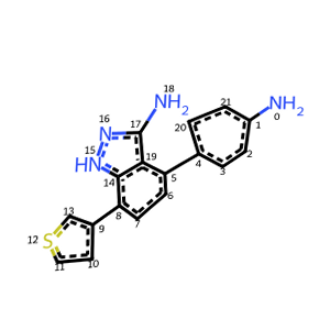 Nc1ccc(-c2ccc(-c3ccsc3)c3[nH]nc(N)c23)cc1